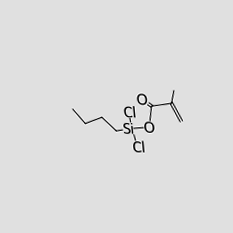 C=C(C)C(=O)O[Si](Cl)(Cl)CCCC